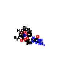 CC(C)[C@H](NC(=O)OC(C)(C)C)C(=O)OC[C@]1(COC2CCCCO2)C/C1=C/n1cnc2c(=O)[nH]c(N)nc21